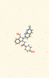 O=CC1c2ccccc2C(CC(=O)N2CCC(O)CC2)N1c1ccc2ccc(Cl)nc2n1